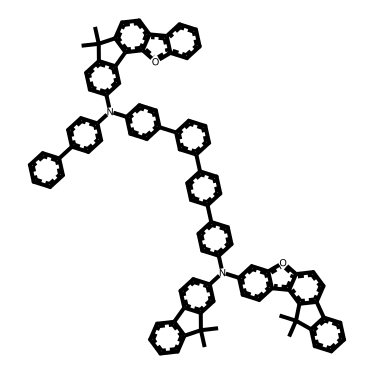 CC1(C)c2ccccc2-c2ccc(N(c3ccc(-c4ccc(-c5cccc(-c6ccc(N(c7ccc(-c8ccccc8)cc7)c7ccc8c(c7)-c7c(ccc9c7oc7ccccc79)C8(C)C)cc6)c5)cc4)cc3)c3ccc4c(c3)oc3ccc5c(c34)C(C)(C)c3ccccc3-5)cc21